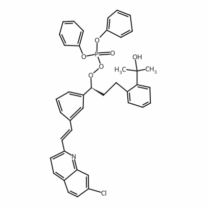 CC(C)(O)c1ccccc1CC[C@H](OOP(=O)(Oc1ccccc1)Oc1ccccc1)c1cccc(C=Cc2ccc3ccc(Cl)cc3n2)c1